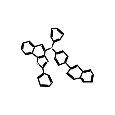 c1ccc(-c2nc3c(N(c4ccccc4)c4ccc(-c5ccc6ccccc6c5)cc4)cc4ccccc4c3o2)cc1